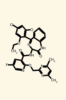 CCOc1cc(Cl)cc(Cl)c1C1=NC(NC(=O)c2cc(F)cnc2OCc2nc(C)cc(C)n2)C(=O)Nc2ccccc21